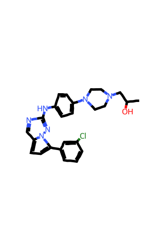 CC(O)CN1CCN(c2ccc(Nc3ncc4ccc(-c5cccc(Cl)c5)n4n3)cc2)CC1